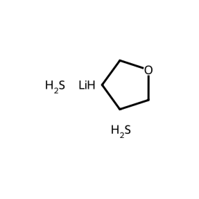 C1CCOC1.S.S.[LiH]